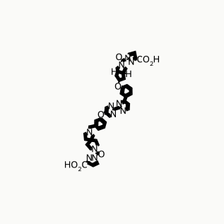 O=C(O)c1ccn(C(=O)N2CCC3(CCN(Cc4cccc(Oc5cnc(-c6nccc(-c7cccc(O[C@H]8C[C@@H]9CN(C(=O)n%10ccc(C(=O)O)n%10)C[C@@H]9C8)c7)n6)nc5)c4)C3)CC2)n1